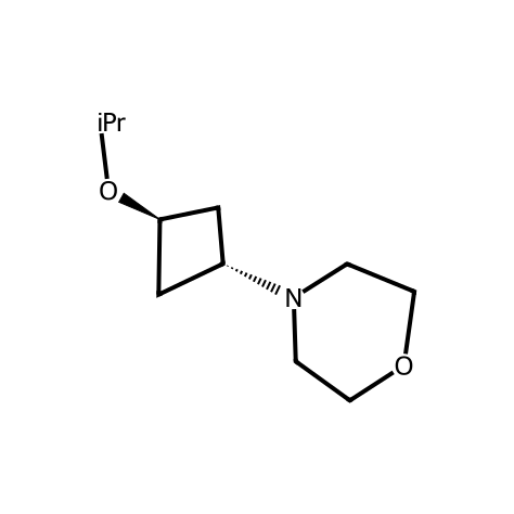 CC(C)O[C@H]1C[C@H](N2CCOCC2)C1